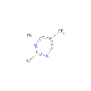 Cl.FC(F)(F)c1cnc(Cl)nc1